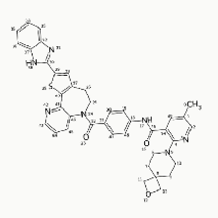 Cc1cnc(N2CCC3(CC2)COC3)c(C(=O)Nc2ccc(C(=O)N3CCc4cc(-c5nc6ccccc6[nH]5)sc4-c4ncccc43)cc2)c1